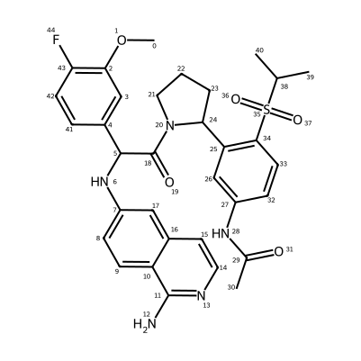 COc1cc(C(Nc2ccc3c(N)nccc3c2)C(=O)N2CCCC2c2cc(NC(C)=O)ccc2S(=O)(=O)C(C)C)ccc1F